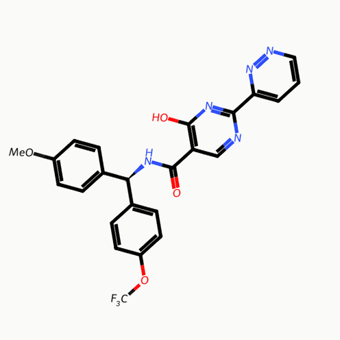 COc1ccc([C@@H](NC(=O)c2cnc(-c3cccnn3)nc2O)c2ccc(OC(F)(F)F)cc2)cc1